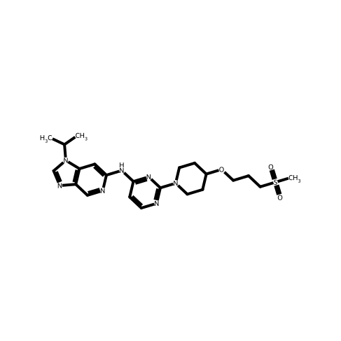 CC(C)n1cnc2cnc(Nc3ccnc(N4CCC(OCCCS(C)(=O)=O)CC4)n3)cc21